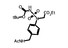 CCOC(=O)CN(c1ccc(CNC(C)=O)cc1)S(=O)(=O)NC(=O)OC(C)(C)C